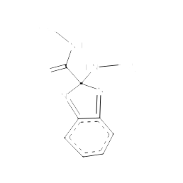 CCCCNC(=O)C1(NC(=O)O)N=c2ccccc2=N1